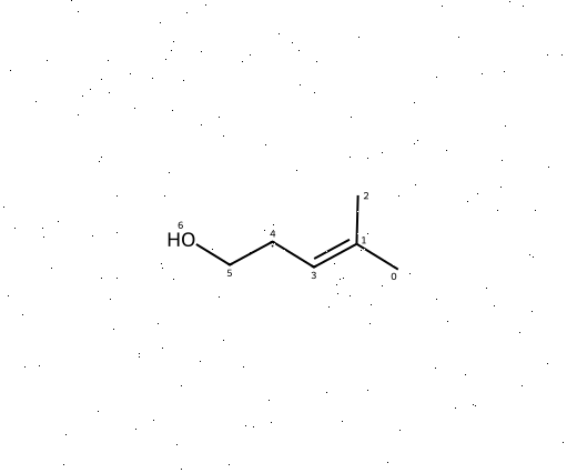 CC(C)=C[CH]CO